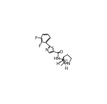 C[C@H]1[C@H](NC(=O)c2cnc(-c3cccc(F)c3F)s2)C2CCN1CC2